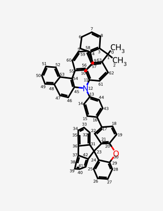 CC1(C)C2=C(CCC=C2)c2cc(N(c3ccc(-c4ccc5c(c4)C4(c6ccccc6O5)c5ccccc5-c5ccccc54)cc3)c3ccc4ccccc4c3-c3ccccc3)ccc21